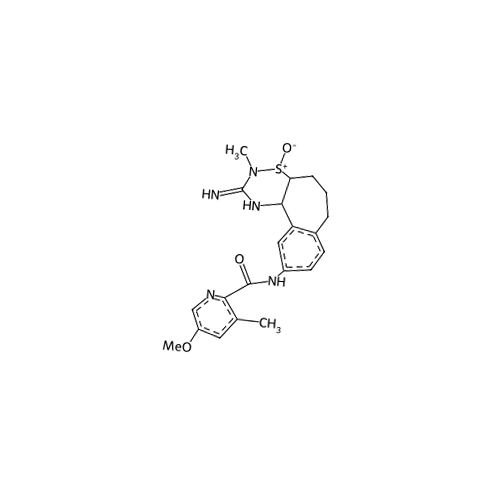 COc1cnc(C(=O)Nc2ccc3c(c2)C2NC(=N)N(C)[S+]([O-])C2CCC3)c(C)c1